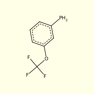 FC(F)(F)Oc1cccc(P)c1